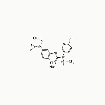 C[C@H]([C@@H](C(=O)Nc1cc([C@@H](CC(=O)[O-])C2CC2)ccc1Cl)c1ccc(Cl)cc1)C(F)(F)F.[Na+]